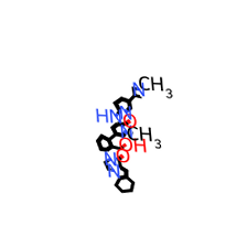 CN1CC(c2ccc(Nc3cc(-c4cccc(N5CCn6c(cc7c6CCCC7)C5=O)c4CO)cn(C)c3=O)nc2)C1